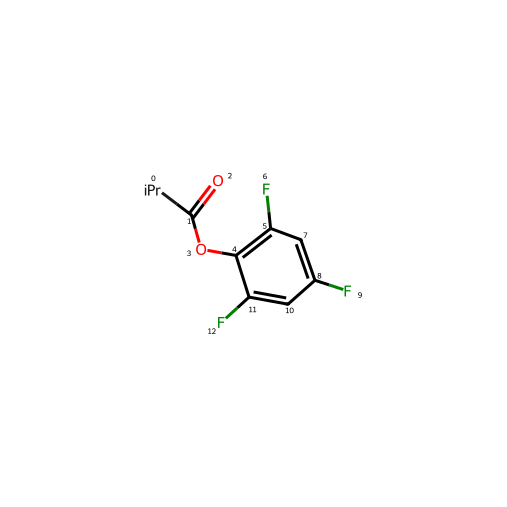 CC(C)C(=O)Oc1c(F)cc(F)cc1F